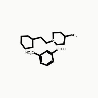 NC1CCN(CCC2CCCCC2)CC1.O=C(O)c1cccc(C(=O)O)c1